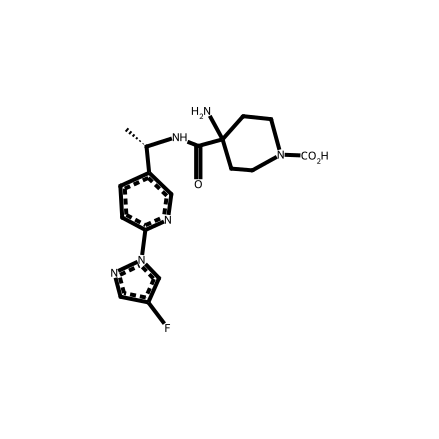 C[C@H](NC(=O)C1(N)CCN(C(=O)O)CC1)c1ccc(-n2cc(F)cn2)nc1